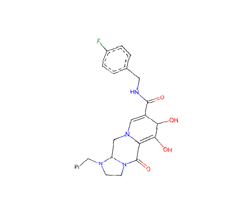 CC(C)CN1CCN2C(=O)C3=C(O)C(O)C(C(=O)NCc4ccc(F)cc4)=CN3CC12